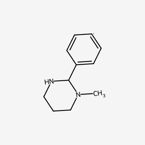 CN1CCCNC1c1cc[c]cc1